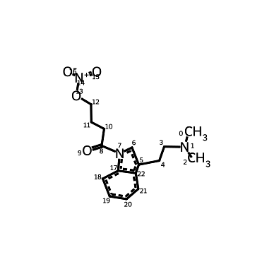 CN(C)CCc1cn(C(=O)CCCO[N+](=O)[O-])c2ccccc12